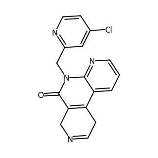 O=c1c2c(c3cccnc3n1Cc1cc(Cl)ccn1)CC=NC2